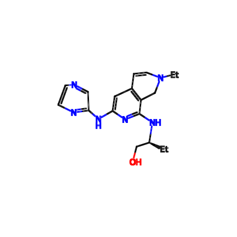 CC[C@@H](CO)Nc1nc(Nc2cnccn2)cc2c1CN(CC)C=C2